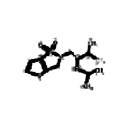 CC(C)N[C@H](CN1Cc2sccc2S1(=O)=O)C(C)C